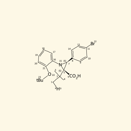 [2H]CC(C)(C)[C@@]1(C(=O)O)[C@H](c2ccc(Br)cc2)N1c1ccccc1OC(C)(C)C